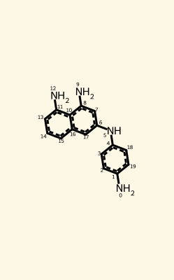 Nc1ccc(Nc2cc(N)c3c(N)cccc3c2)cc1